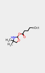 CCCCCCCCCCCC(=O)OC1NC(C)(C)CO1